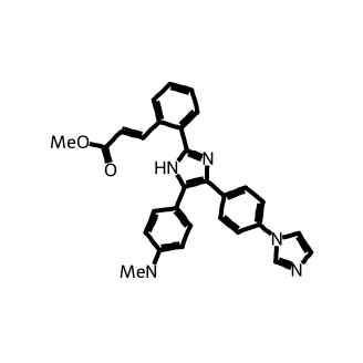 CNc1ccc(-c2[nH]c(-c3ccccc3/C=C/C(=O)OC)nc2-c2ccc(-n3ccnc3)cc2)cc1